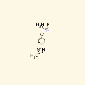 Cn1cnc(-c2ccc(OC/C(=C/F)CN)cc2)n1